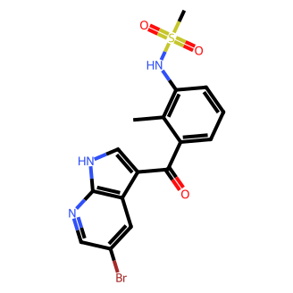 Cc1c(NS(C)(=O)=O)cccc1C(=O)c1c[nH]c2ncc(Br)cc12